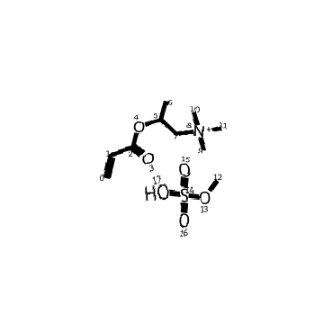 C=CC(=O)OC(C)C[N+](C)(C)C.COS(=O)(=O)O